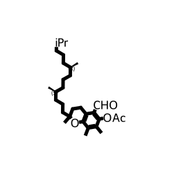 CC(=O)Oc1c(C)c(C)c2c(c1C=O)CCC(C)(CCC[C@@H](C)CCC[C@H](C)CCCC(C)C)O2